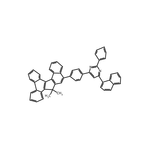 CC1(C)c2cc(-c3ccc(-c4cc(-c5cccc6ccccc56)nc(-c5ccccc5)n4)cc3)c3ccccc3c2-c2c1c1ccccc1c1ccccc21